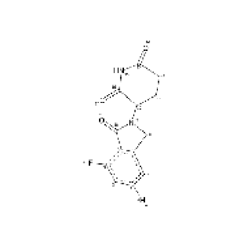 [2H]c1cc(F)c2c(c1)CN(C1CCC(=O)NC1=O)C2=O